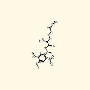 COc1cc(C(C)OC(=O)C(N)CCCN=[N+]=[N-])c([N+](=O)[O-])cc1OC